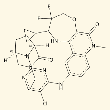 CCN1C[C@H]2CC[C@@H](C1=O)N2c1ncc(Cl)c(Nc2ccc3c(c2)c2c(c(=O)n3C)OCC(F)(F)C(C3CC3)N2)n1